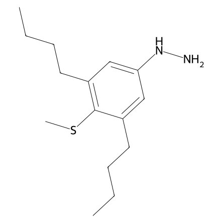 CCCCc1cc(NN)cc(CCCC)c1SC